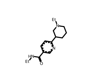 CCNC(=O)c1ccc(C2CCCN(CC)C2)nc1